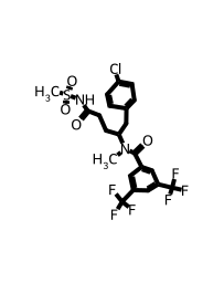 CN(C(=O)c1cc(C(F)(F)F)cc(C(F)(F)F)c1)C(CCC(=O)NS(C)(=O)=O)Cc1ccc(Cl)cc1